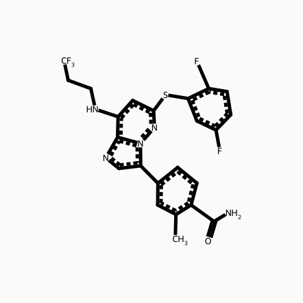 Cc1cc(-c2cnc3c(NCCC(F)(F)F)cc(Sc4cc(F)ccc4F)nn23)ccc1C(N)=O